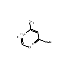 C=CCC.COC(=O)C=C(C)C